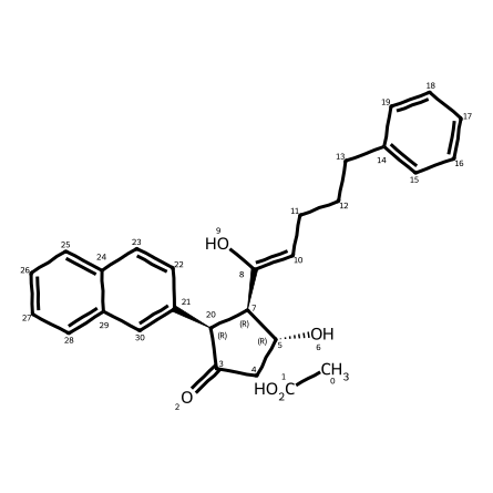 CC(=O)O.O=C1C[C@@H](O)[C@H](C(O)=CCCCc2ccccc2)[C@@H]1c1ccc2ccccc2c1